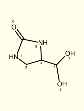 O=C1NCC(C(O)O)N1